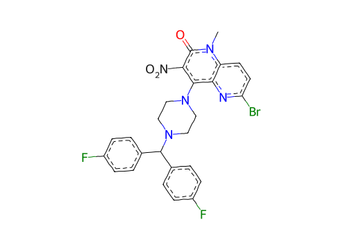 Cn1c(=O)c([N+](=O)[O-])c(N2CCN(C(c3ccc(F)cc3)c3ccc(F)cc3)CC2)c2nc(Br)ccc21